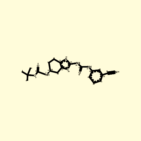 CC(C)(C)OC(=O)N[C@H]1CCc2nc(NC(=O)Nc3cccc(C#N)c3)sc2C1